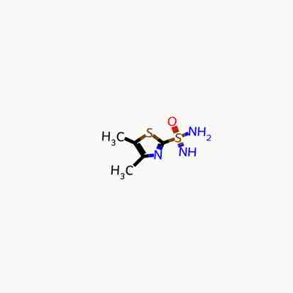 Cc1nc(S(=N)(N)=O)sc1C